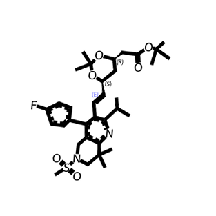 CC(C)c1nc2c(c(-c3ccc(F)cc3)c1/C=C/[C@@H]1C[C@H](CC(=O)OC(C)(C)C)OC(C)(C)O1)CN(S(C)(=O)=O)CC2(C)C